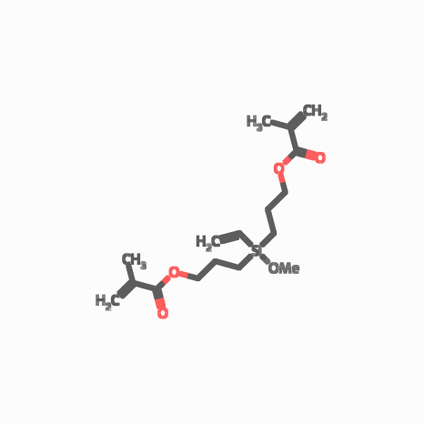 C=C[Si](CCCOC(=O)C(=C)C)(CCCOC(=O)C(=C)C)OC